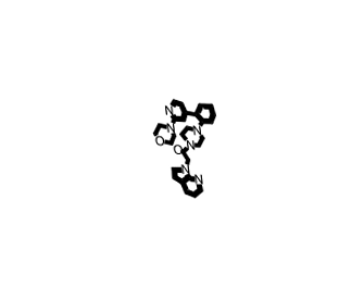 O=C(Cn1ccc2cccnc21)N1CCN(c2ccccc2-c2ccnc(N3CCOCC3)c2)CC1